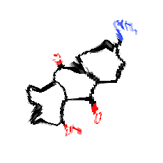 Nc1ccc2c(c1)C(=O)c1cccc(O)c1C2=O